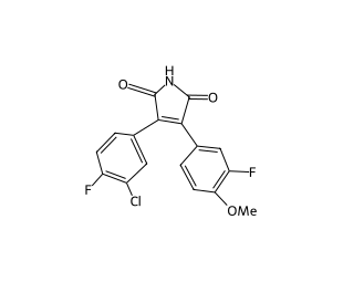 COc1ccc(C2=C(c3ccc(F)c(Cl)c3)C(=O)NC2=O)cc1F